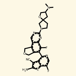 CN(C)C1COC2(CCN(c3ncc4c5c(c(-c6ncc(F)c7sc(N)c(C#N)c67)c(F)c4n3)COC5)C2)C1